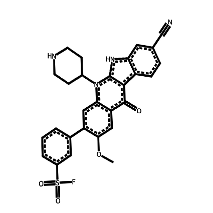 COc1cc2c(=O)c3c4ccc(C#N)cc4[nH]c3n(C3CCNCC3)c2cc1-c1cccc(S(=O)(=O)F)c1